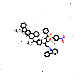 C/C(=C(\c1ccccc1)S(=O)(=O)c1ccc([N+](=O)[O-])cc1)C(C)/C(=C\Cn1c2ccccc2c2ccccc21)c1ccc(C(C)C2Cc3cc4c(cc3-c3ccccc32)-c2ccccc2C4(C)C)cc1